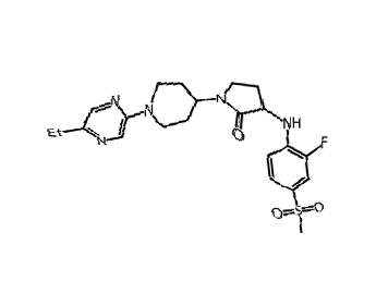 CCc1cnc(N2CCC(N3CCC(Nc4ccc(S(C)(=O)=O)cc4F)C3=O)CC2)cn1